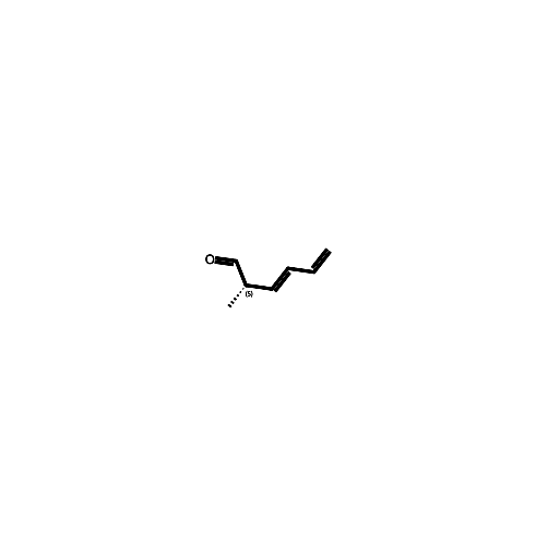 C=CC=C[C@H](C)C=O